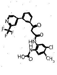 Cc1cc(NC(=O)O)c(NC(=O)CC(=O)c2cccc(-c3ccnc(C(F)(F)F)c3)c2)cc1Cl